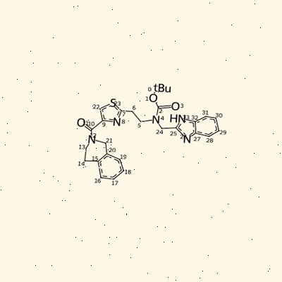 CC(C)(C)OC(=O)N(CCc1nc(C(=O)N2CCc3ccccc3C2)cs1)Cc1nc2ccccc2[nH]1